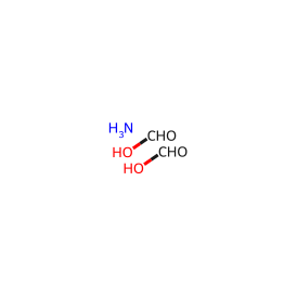 N.O=CO.O=CO